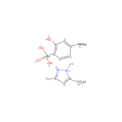 CC(=O)Nc1ccc([As](=O)(O)O)c(O)c1.Cc1cc(C(=O)O)n(C)n1